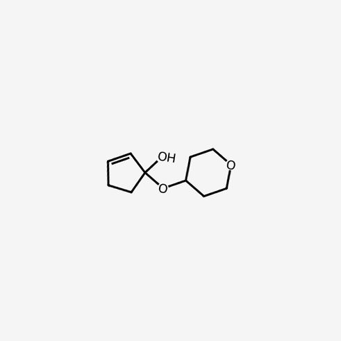 OC1(OC2CCOCC2)C=CCC1